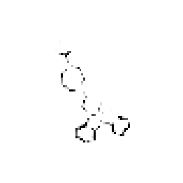 CC(C)(C)OC(=O)N1CCCN(CCN2c3ccccc3N(c3ccccc3)S2(O)O)CC1